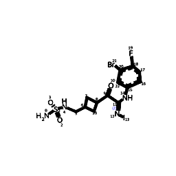 NS(=O)(=O)NCC1CC(C(=O)/C(=N/I)Nc2ccc(F)c(Br)c2)C1